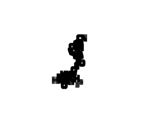 C[C@@H](COCCC(=O)N1CCN2c3ncc(C#N)cc3OCCC2C1)Nc1cn[nH]c(=O)c1C(F)(F)F